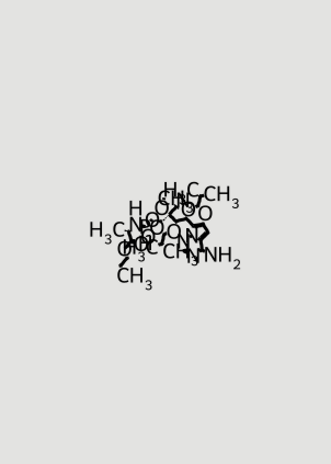 CCCOC(=O)[C@H](C)N[PH](=O)OC[C@@](C#N)(OC)[C@@H](OC(=O)C(C)C)[C@@H](OC(=O)C(C)C)c1ccc2c(N)ncnn12